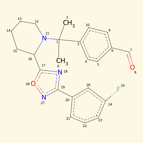 CC(C)(c1ccc(C=O)cc1)N1CCCCC1c1nc(-c2cccc(F)c2)no1